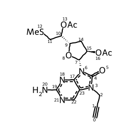 C#CCn1c(=O)n([C@@H]2O[C@H](C(CSC)OC(C)=O)C[C@H]2OC(C)=O)c2nc(N)ncc21